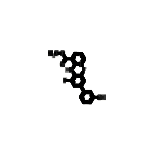 COC(=O)c1cccnc1Nc1c(F)cc(-c2cccc(O)c2)cc1F